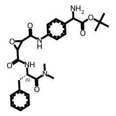 CN(C)C(=O)[C@H](Cc1ccccc1)NC(=O)C1OC1C(=O)Nc1ccc(C(N)C(=O)OC(C)(C)C)cc1